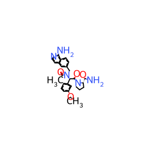 COc1cccc(C(C(=O)N2CCC[C@H]2C(N)=O)N(Cc2ccc3c(N)nccc3c2)C(C)=O)c1